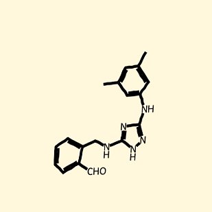 Cc1cc(C)cc(Nc2n[nH]c(NCc3ccccc3C=O)n2)c1